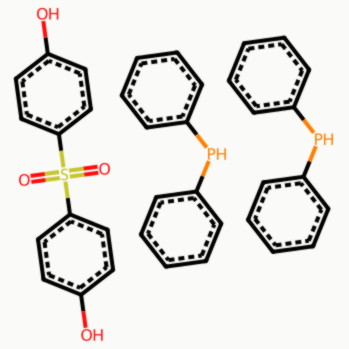 O=S(=O)(c1ccc(O)cc1)c1ccc(O)cc1.c1ccc(Pc2ccccc2)cc1.c1ccc(Pc2ccccc2)cc1